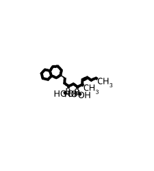 CCC/C=C\C(C)C(CC(CC[C@@H]1CCCC2CCCCC2C1)B(O)O)B(O)O